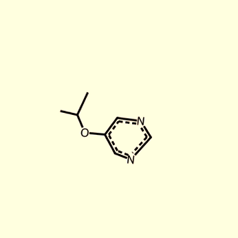 CC(C)Oc1cncnc1